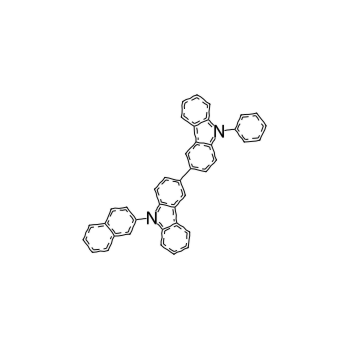 c1ccc(-n2c3ccccc3c3cc(-c4ccc5c(c4)c4ccccc4n5-c4ccc5ccccc5c4)ccc32)cc1